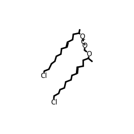 CC(CCC=CCCCCCCCCl)OCOCOC(C)CCC=CCCCCCCCCl